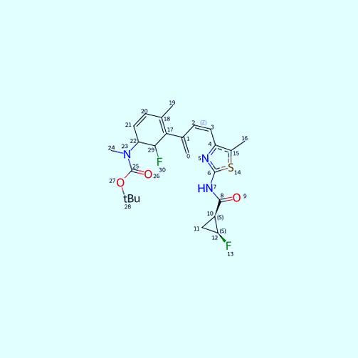 C=C(/C=C\c1nc(NC(=O)[C@@H]2C[C@@H]2F)sc1C)C1=C(C)C=CC(N(C)C(=O)OC(C)(C)C)C1F